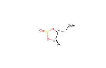 COC[C@H]1OS(=O)O[C@@H]1C(C)=O